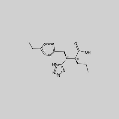 CCC[C@H](C(=O)O)[C@H](Cc1ccc(CC)cc1)c1nnn[nH]1